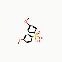 COc1ccc(S(=O)(O)(O)c2ccc(OC)cc2)cc1